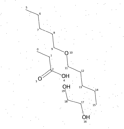 CCC(=O)O.CCCCCOCCCCC.OCCO